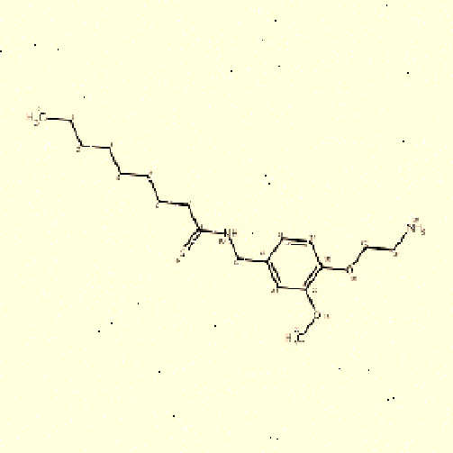 CCCCCCCCC(=S)NCc1ccc(OCCN)c(OC)c1